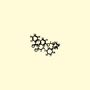 O=C1CCc2c(OCc3nnnn3C3CCCCC3)cccc2N1C(=O)c1ccccc1